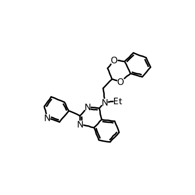 CCN(CC1COc2ccccc2O1)c1nc(-c2cccnc2)nc2ccccc12